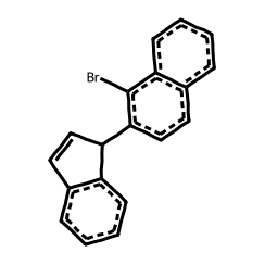 Brc1c(C2C=Cc3ccccc32)ccc2ccccc12